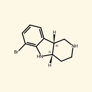 Brc1cccc2c1N[C@H]1CCNC[C@@H]21